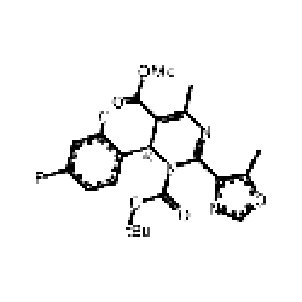 COC(=O)C1=C(C)N=C(c2ncoc2C)N(C(=O)OC(C)(C)C)[C@H]1c1ccc(F)cc1Cl